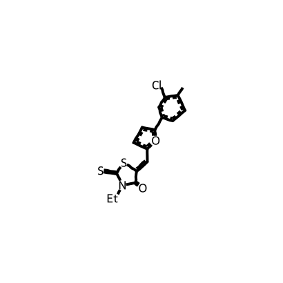 CCN1C(=O)C(=Cc2ccc(-c3ccc(C)c(Cl)c3)o2)SC1=S